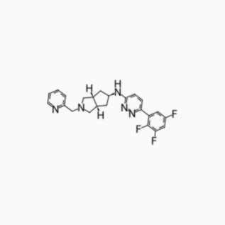 Fc1cc(F)c(F)c(-c2ccc(N[C@H]3C[C@@H]4CN(Cc5ccccn5)C[C@@H]4C3)nn2)c1